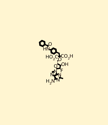 Cc1nc(N)c2ncn([C@@H]3O[C@H](COC(Cc4ccc(NC(=O)c5ccccc5)cc4)(C(=O)O)C(=O)O)[C@@H](O)[C@@H]3F)c2n1